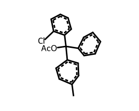 CC(=O)OC(c1ccccc1)(c1ccc(C)cc1)c1ccccc1Cl